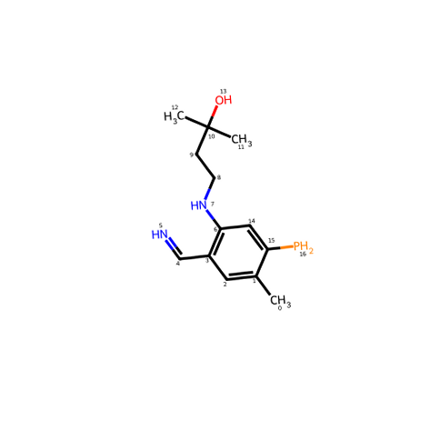 Cc1cc(C=N)c(NCCC(C)(C)O)cc1P